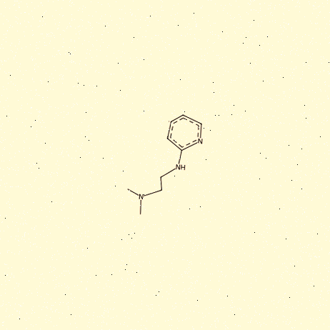 CN(C)CCNc1c[c]ccn1